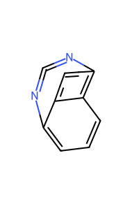 C1=Nc2cccc3c(cccc23)N=1